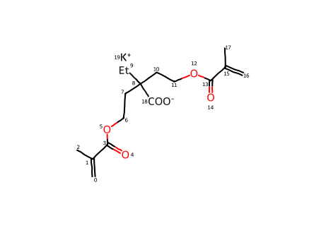 C=C(C)C(=O)OCCC(CC)(CCOC(=O)C(=C)C)C(=O)[O-].[K+]